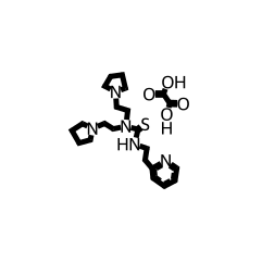 O=C(O)C(=O)O.S=C(NCCc1ccccn1)N(CCN1CCCC1)CCN1CCCC1